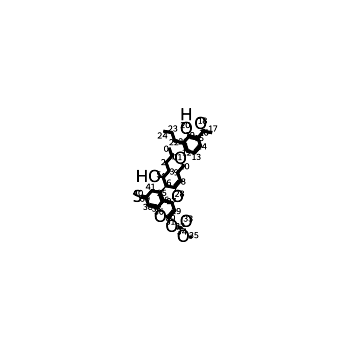 CCCC[C@@H](O)[C@@H](/C=C\CCOc1ccc(C(C)=O)c(O)c1CCC)C1=c2c(=O)cc(OC(=O)OC)oc2=CC(=S)C1